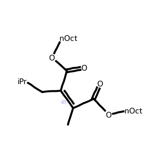 CCCCCCCCOC(=O)/C(C)=C(/CC(C)C)C(=O)OCCCCCCCC